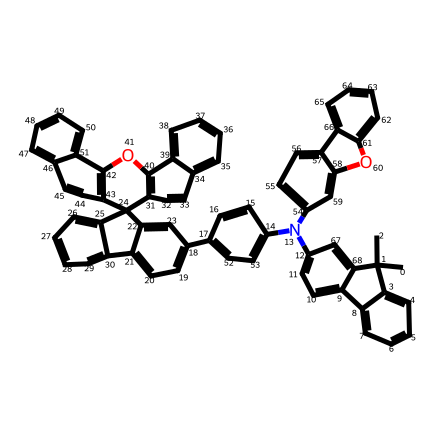 CC1(C)c2ccccc2-c2ccc(N(c3ccc(-c4ccc5c(c4)C4(c6ccccc6-5)c5ccc6ccccc6c5Oc5c4ccc4ccccc54)cc3)c3ccc4c(c3)oc3ccccc34)cc21